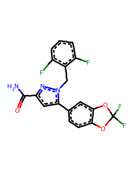 NC(=O)c1cc(-c2ccc3c(c2)OC(F)(F)O3)n(Cc2c(F)cccc2F)n1